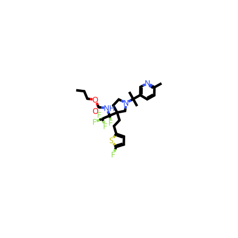 CCCOC(=O)NC(F)(C(F)(F)F)C1(CCc2ccc(F)s2)CCN(C(C)(C)c2ccc(C)nc2)C1